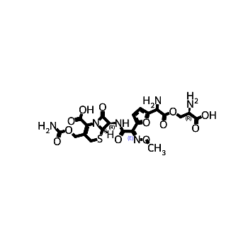 CO/N=C(/C(=O)N[C@@H]1C(=O)N2C(C(=O)O)=C(COC(N)=O)CS[C@H]12)c1ccc(C(N)C(=O)OC[C@@H](N)C(=O)O)o1